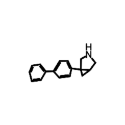 c1ccc(-c2ccc(C34CNCC3C4)cc2)cc1